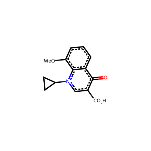 COc1cccc2c(=O)c(C(=O)O)cn(C3CC3)c12